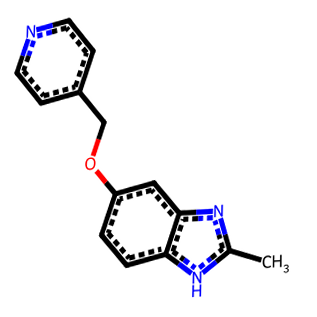 Cc1nc2cc(OCc3ccncc3)ccc2[nH]1